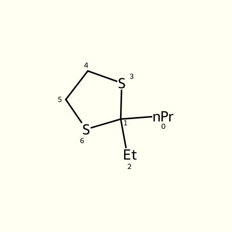 CCCC1(CC)SCCS1